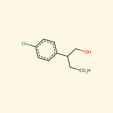 O=C(O)CC(CO)c1ccc(Cl)cc1